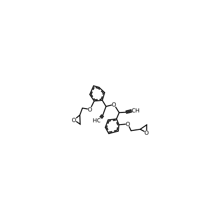 C#CC(OC(C#C)c1ccccc1OCC1CO1)c1ccccc1OCC1CO1